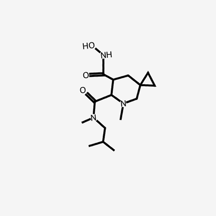 CC(C)CN(C)C(=O)C1C(C(=O)NO)CC2(CC2)CN1C